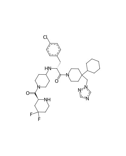 O=C([C@@H]1CC(F)(F)CCN1)N1CCC(N[C@H](Cc2ccc(Cl)cc2)C(=O)N2CCC(Cn3cncn3)(C3CCCCC3)CC2)CC1